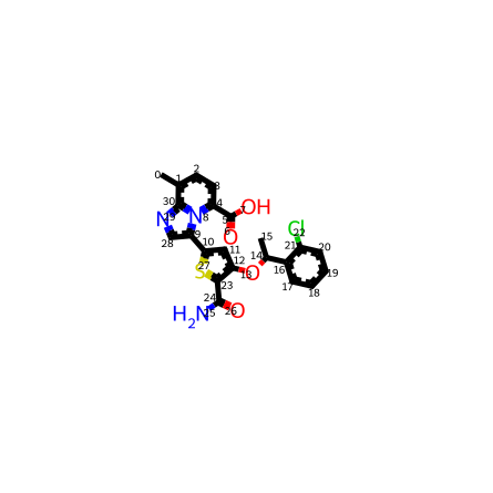 Cc1ccc(C(=O)O)n2c(-c3cc(OC(C)c4ccccc4Cl)c(C(N)=O)s3)cnc12